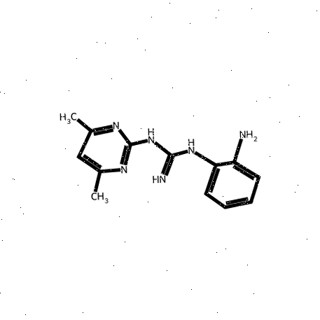 Cc1cc(C)nc(NC(=N)Nc2ccccc2N)n1